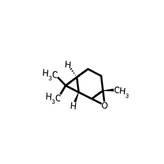 CC1(C)[C@H]2CC[C@]3(C)OC3[C@@H]21